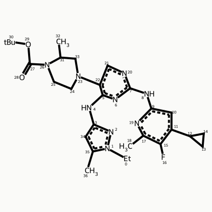 CCn1nc(Nc2nc(Nc3cc(C4CC4)c(F)c(C)n3)ncc2N2CCN(C(=O)OC(C)(C)C)C(C)C2)cc1C